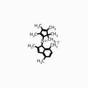 CC1=Cc2c(C)ccc(C)c2[CH]1[Zr+2][C]1=C(C)C(C)=C(C)C1(C)C.[I-].[I-]